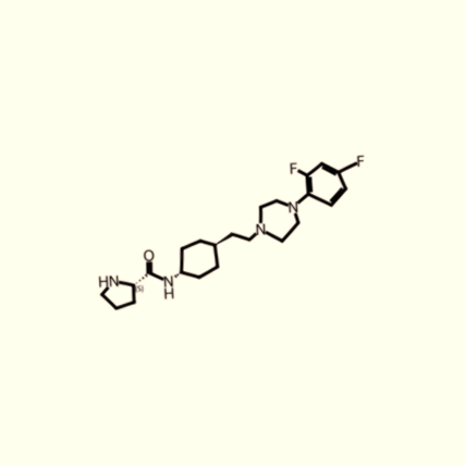 O=C(N[C@H]1CC[C@H](CCN2CCN(c3ccc(F)cc3F)CC2)CC1)[C@@H]1CCCN1